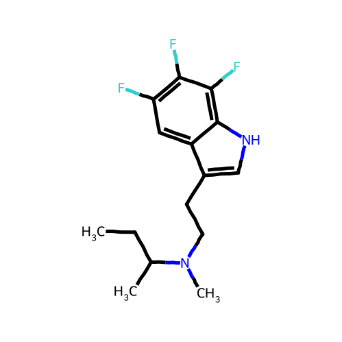 CCC(C)N(C)CCc1c[nH]c2c(F)c(F)c(F)cc12